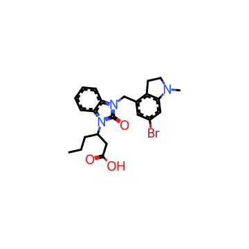 CCCC(CC(=O)O)n1c(=O)n(Cc2cc(Br)cc3c2CCN3C)c2ccccc21